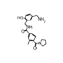 Cc1cc(C(=O)NCc2cc(CN)ccc2O)ccc1C(=O)N1CCCC1